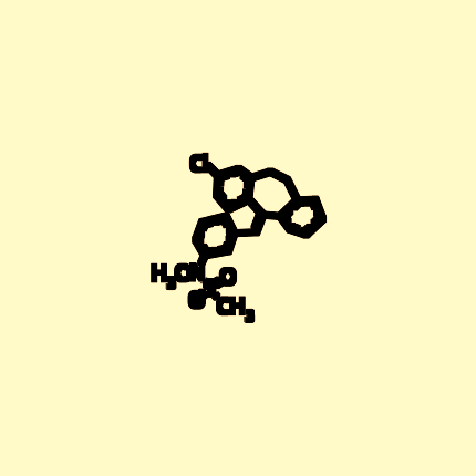 CN(c1cccc(C=C2c3ccccc3CCc3cc(Cl)ccc32)c1)S(C)(=O)=O